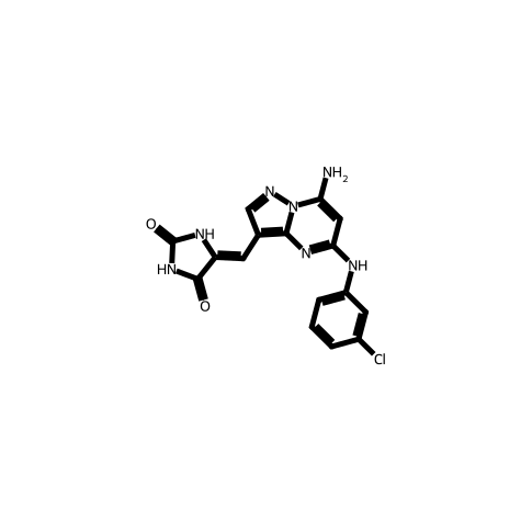 Nc1cc(Nc2cccc(Cl)c2)nc2c(/C=C3\NC(=O)NC3=O)cnn12